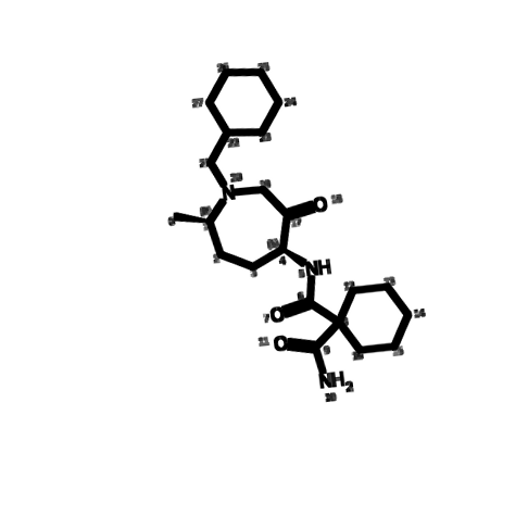 C[C@@H]1CC[C@H](NC(=O)C2(C(N)=O)CCCCC2)C(=O)CN1CC1CCCCC1